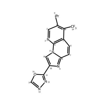 CC(C)c1cnc2c(ccc3nc(-c4nnco4)cn32)c1C(F)(F)F